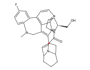 CN1Cc2c(C3=CC4CCCC(C3)N4CC(=O)N3CCC[C@H]3CO)[nH]c3nccc(c23)-c2cc(F)ccc21